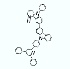 C1=Cc2c(c3cc(-c4ccc5c(c4)c4ccccc4n5-c4ccc(-c5cc(-c6ccccc6)cc(-c6ccccc6)n5)cc4)ccc3n2-c2ccccc2)NC1